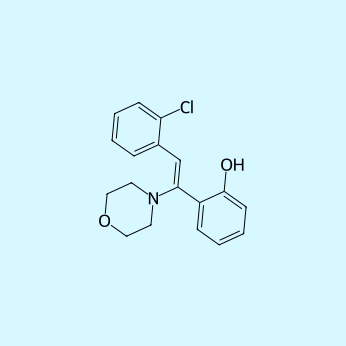 Oc1ccccc1C(=Cc1ccccc1Cl)N1CCOCC1